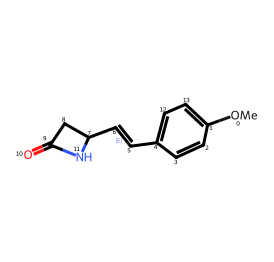 COc1ccc(/C=C/C2CC(=O)N2)cc1